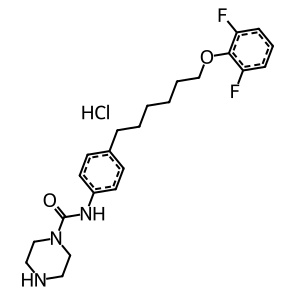 Cl.O=C(Nc1ccc(CCCCCCOc2c(F)cccc2F)cc1)N1CCNCC1